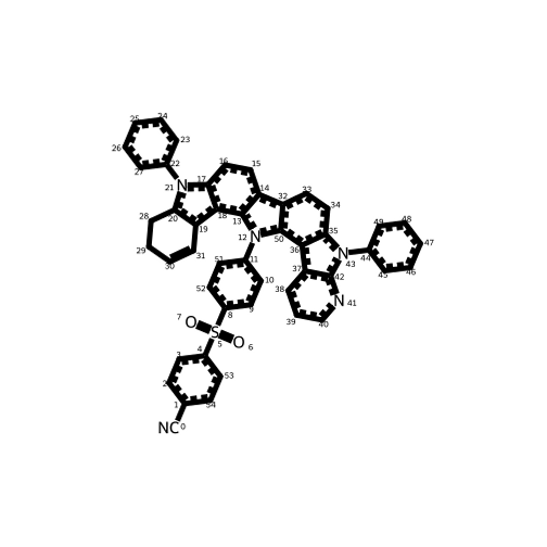 N#Cc1ccc(S(=O)(=O)c2ccc(-n3c4c(ccc5c4c4c(n5-c5ccccc5)CCC=C4)c4ccc5c(c6cccnc6n5-c5ccccc5)c43)cc2)cc1